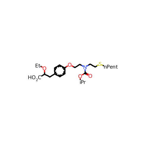 CCCCCSCCN(CCOc1ccc(CC(OCC)C(=O)O)cc1)C(=O)OC(C)C